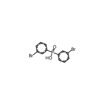 O=P(O)(c1cccc(Br)c1)c1cccc(Br)c1